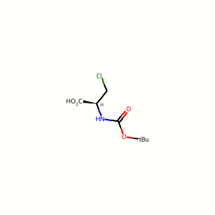 CC(C)(C)OC(=O)N[C@H](CCl)C(=O)O